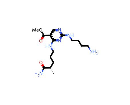 COC(=O)c1cnc(NCCCCN)nc1NCCC[C@H](C)C(N)=O